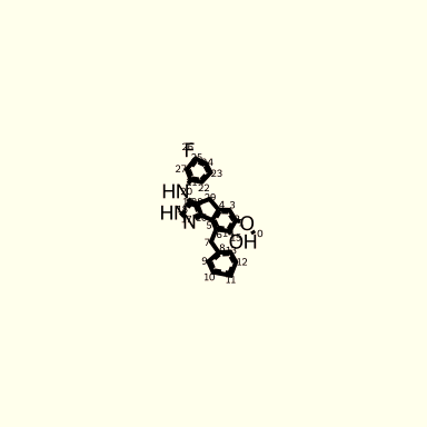 COc1cc2c(c(Cc3ccccc3)c1O)-c1n[nH]c(Nc3cccc(F)c3)c1C2